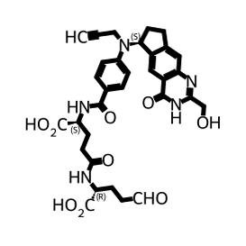 C#CCN(c1ccc(C(=O)N[C@@H](CCC(=O)N[C@H](CCC=O)C(=O)O)C(=O)O)cc1)[C@H]1CCc2cc3nc(CO)[nH]c(=O)c3cc21